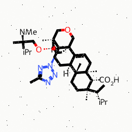 CN[C@@](C)(CO[C@H]1[C@H](n2nnc(C)n2)C[C@@]23COC[C@@]1(C)[C@@H]2CC[C@H]1C3=CC[C@@]2(C)[C@H](C(=O)O)[C@@](C)([C@H](C)C(C)C)CC[C@]12C)C(C)C